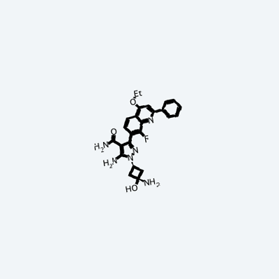 CCOc1cc(-c2ccccc2)nc2c(F)c(-c3nn([C@H]4C[C@@](N)(O)C4)c(N)c3C(N)=O)ccc12